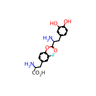 N[C@@H](Cc1ccc(OC(=O)[C@@H](N)Cc2ccc(O)c(O)c2)c(F)c1)C(=O)O